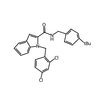 CC(C)(C)c1ccc(CNC(=O)c2cc3ccccc3n2Cc2ccc(Cl)cc2Cl)cc1